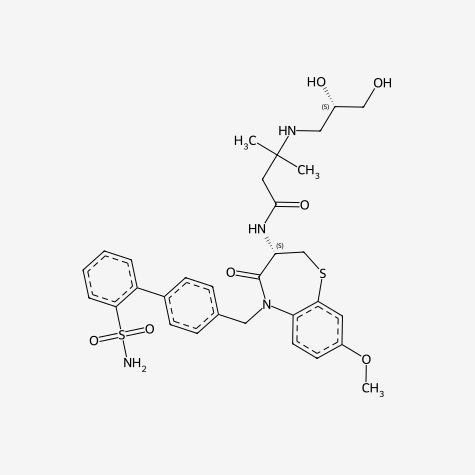 COc1ccc2c(c1)SC[C@@H](NC(=O)CC(C)(C)NC[C@H](O)CO)C(=O)N2Cc1ccc(-c2ccccc2S(N)(=O)=O)cc1